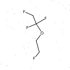 FCCOC(F)(F)CF